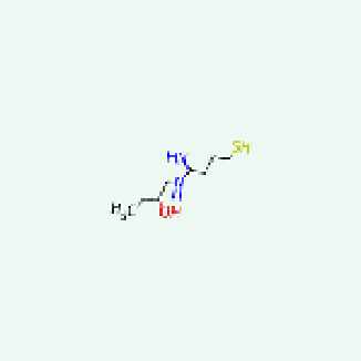 CCC(O)CNC(=N)CCCS